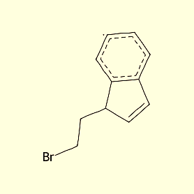 BrCCC1C=Cc2cc[c]cc21